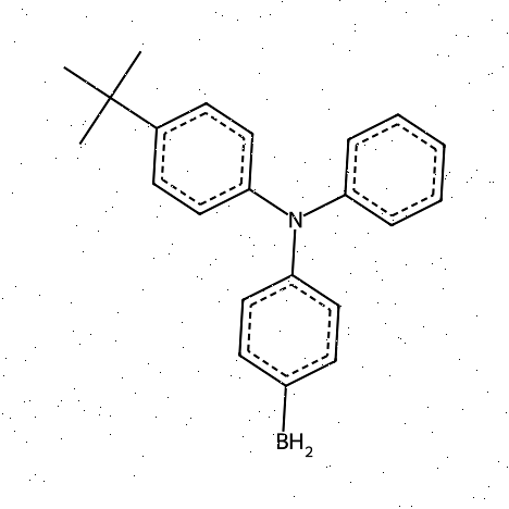 Bc1ccc(N(c2ccccc2)c2ccc(C(C)(C)C)cc2)cc1